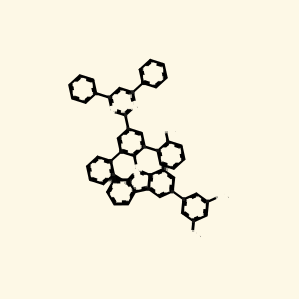 N#Cc1cc(C#N)cc(-c2ccc3c(c2)c2ccccc2n3-c2c(-c3ccccc3C(F)(F)F)cc(-c3nc(-c4ccccc4)cc(-c4ccccc4)n3)cc2-c2ccccc2C(F)(F)F)c1